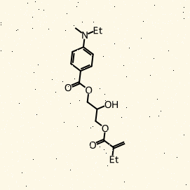 C=C(CC)C(=O)OCC(O)COC(=O)c1ccc(N(C)CC)cc1